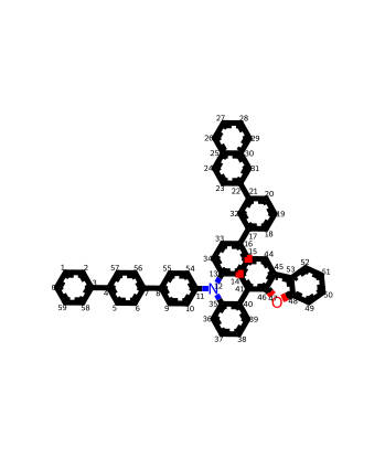 c1ccc(-c2ccc(-c3ccc(N(c4ccc(-c5cccc(-c6ccc7ccccc7c6)c5)cc4)c4ccccc4-c4cccc5c4oc4ccccc45)cc3)cc2)cc1